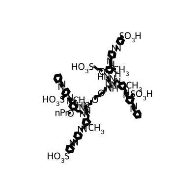 CCCOc1cc(N=Nc2ccc(N=Nc3ccccc3)cc2S(=O)(=O)O)c(C)cc1Cc1nc(Cc2ccc(N=Nc3ccc(N=Nc4ccc(S(=O)(=O)O)cc4)cc3)c(C)c2)nc(NCCOCCOCCNc2nc(Nc3ccc(N=Nc4ccc(N=Nc5ccccc5)cc4S(=O)(=O)O)c(C)c3)nc(Nc3cc(C)c(N=Nc4ccc(N=Nc5ccc(S(=O)(=O)O)cc5)cc4)cc3OCCCS(=O)(=O)O)n2)n1